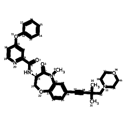 CN1C(=O)[C@@H](NC(=O)c2cc(Oc3ccccc3)ccn2)COc2ccc(C#CC(C)(C)CN3CCOCC3)cc21